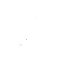 CC(CCOS(C)(=O)=O)Oc1ccc(Cl)cc1Br